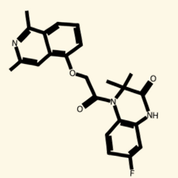 Cc1cc2c(OCC(=O)N3c4ccc(F)cc4NC(=O)C3(C)C)cccc2c(C)n1